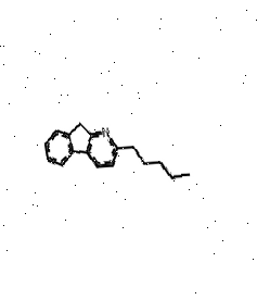 CCCCCc1ccc2c(n1)Cc1ccccc1-2